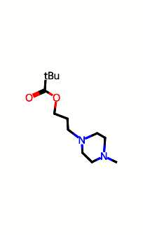 CN1CCN(CCCOC(=O)C(C)(C)C)CC1